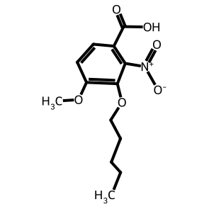 CCCCCOc1c(OC)ccc(C(=O)O)c1[N+](=O)[O-]